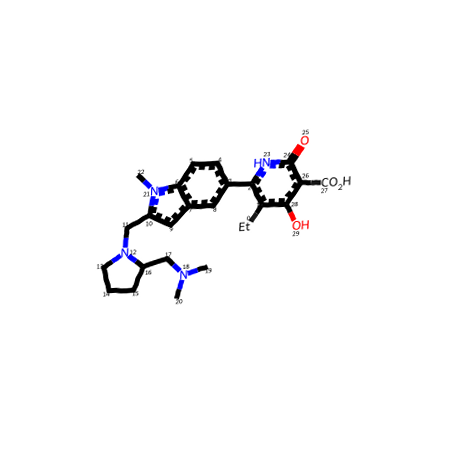 CCc1c(-c2ccc3c(c2)cc(CN2CCCC2CN(C)C)n3C)[nH]c(=O)c(C(=O)O)c1O